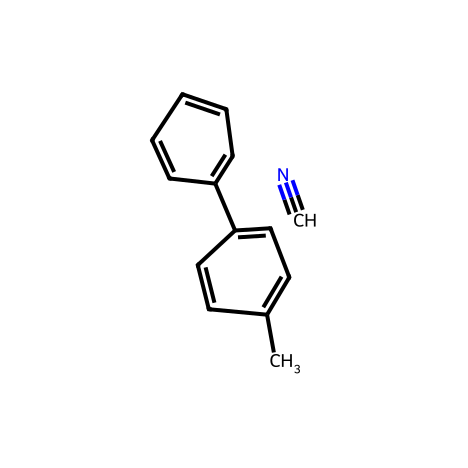 C#N.Cc1ccc(-c2ccccc2)cc1